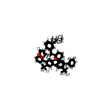 Cc1cccc([C](c2cccc(C)c2)=[Zr]([C]2=CC=CC2)[c]2c3c(cc(C(C)(C)C)c2-c2ccccc2)-c2cc(C(C)(C)C)c(-c4ccccc4)cc2C3)c1.Cl.Cl